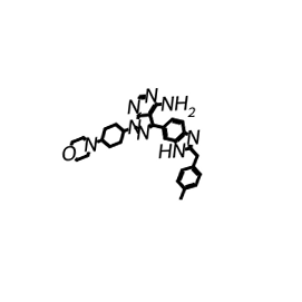 Cc1ccc(Cc2nc3ccc(-c4nn(C5CCC(N6CCOCC6)CC5)c5ncnc(N)c45)cc3[nH]2)cc1